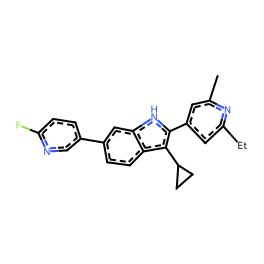 CCc1cc(-c2[nH]c3cc(-c4ccc(F)nc4)ccc3c2C2CC2)cc(C)n1